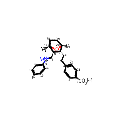 O=C(O)c1ccc(CC[C@@H]2[C@@H](CNc3ccccc3)[C@@H]3CC[C@H]2O3)cc1